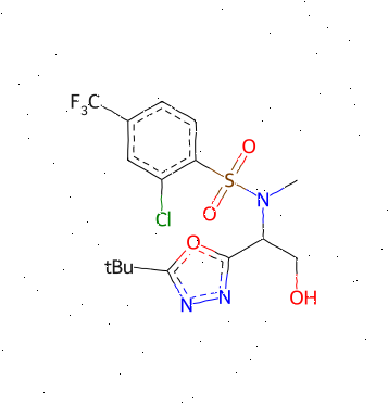 CN(C(CO)c1nnc(C(C)(C)C)o1)S(=O)(=O)c1ccc(C(F)(F)F)cc1Cl